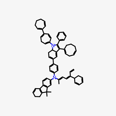 C=C/C(=C\C=C(/C)N(c1ccc(C2=CCC3C(=C2)C(/C2=C/C/C=C\CCC2)=C(c2ccccc2)N3C2=CCC=C(C3=CCCCC=C3)C=C2)cc1)c1ccc2c(c1)C(C)(C)C1=C2C=CCC1)C1C=CC=CC1